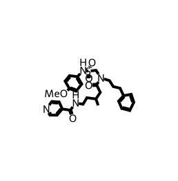 COc1ccc(NS(=O)(=O)CN(CCCc2ccccc2)C(=O)CC(C)CCNC(=O)c2ccncc2)cc1